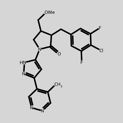 COCC1CN(c2cc(-c3cnncc3C)n[nH]2)C(=O)C1Cc1cc(F)c(Cl)c(F)c1